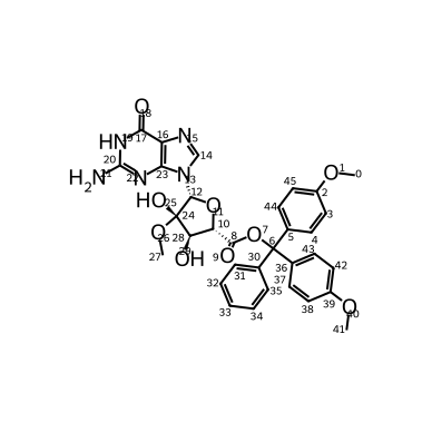 COc1ccc(C(OC(=O)[C@H]2O[C@@H](n3cnc4c(=O)[nH]c(N)nc43)[C@@](O)(OC)[C@@H]2O)(c2ccccc2)c2ccc(OC)cc2)cc1